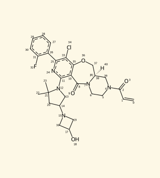 C=CC(=O)N1CCN2C(=O)c3c(N4CC(N5CC(O)C5)CC4(C)C)nc(-c4ccccc4F)c(Cl)c3OC[C@H]2C1